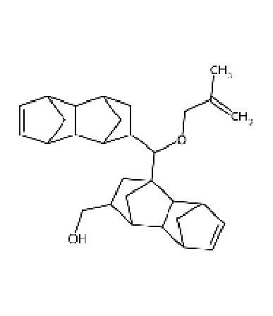 C=C(C)COC(C1CC2CC1C1C3C=CC(C3)C21)C12CC(CO)C(C1)C1C3C=CC(C3)C12